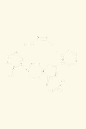 C[N+]1(c2ccccc2F)CCC2(CC1)CN(c1ccccc1F)c1ccccc12.O=C(O)/C=C\C(=O)O